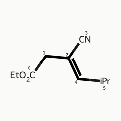 CCOC(=O)CC(C#N)=CC(C)C